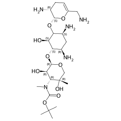 CN(C(=O)OC(C)(C)C)[C@@H]1[C@@H](O)[C@@H](O[C@H]2[C@H](N)C[C@H](N)C(O[C@H]3OC(CN)=CC[C@H]3N)[C@@H]2O)OC[C@]1(C)O